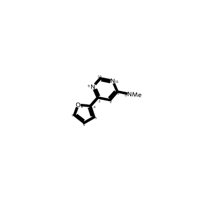 CNc1cc(-c2ccco2)ncn1